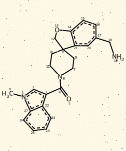 Cn1cc(C(=O)N2CCC3(CC2)COc2ccc(CN)cc23)c2ccccc21